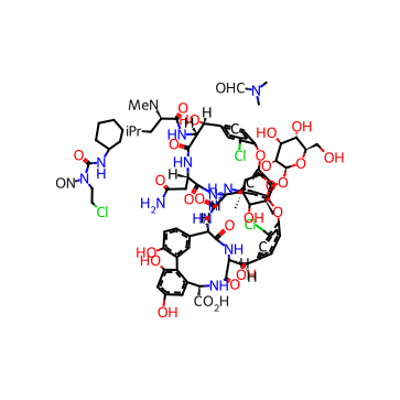 CN(C)C=O.CN[C@H](CC(C)C)C(=O)N[C@H]1C(=O)N[C@@H](CC(N)=O)C(=O)N[C@H]2C(=O)N[C@H]3C(=O)N[C@H](C(=O)N[C@@H](C(=O)O)c4cc(O)cc(O)c4-c4cc3ccc4O)[C@H](O)c3ccc(c(Cl)c3)Oc3cc2cc(c3O[C@@H]2O[C@H](CO)[C@@H](O)[C@H](O)[C@H]2O[C@H]2C[C@](C)(N)C(O)[C@H](C)O2)Oc2ccc(cc2Cl)[C@H]1O.O=NN(CCCl)C(=O)NC1CCCCC1